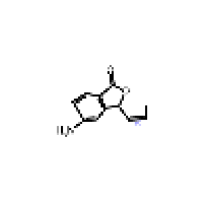 C/C=C\C1OC(=O)c2ccc(N)cc21